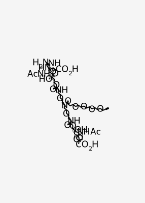 C#CCOCCOCCOCCOCCC(=O)N(CCOCCNC(=O)OCC[C@@H](O)[C@@H]1OC(C(=O)O)=C[C@H](NC(=N)N)[C@H]1NC(C)=O)CCOCCNC(=O)OC[C@@H](O)C[C@@H]1OC(C(=O)O)=CC[C@H]1NC(C)=O